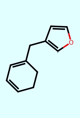 [c]1occc1CC1=CC=CCC1